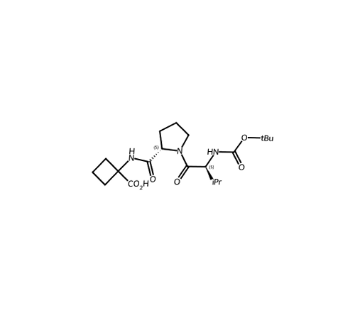 CC(C)[C@H](NC(=O)OC(C)(C)C)C(=O)N1CCC[C@H]1C(=O)NC1(C(=O)O)CCC1